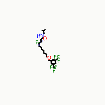 CC(C)CNC(=O)/C=C/C(F)=C\CCCCCCOCc1cc(C(F)(F)F)cc(C(F)(F)F)c1